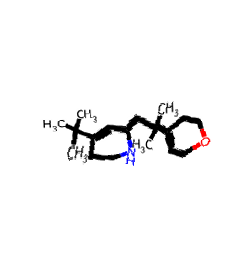 CC(C)(C)C1=CC(CC(C)(C)C2=CCOCC2)NCC1